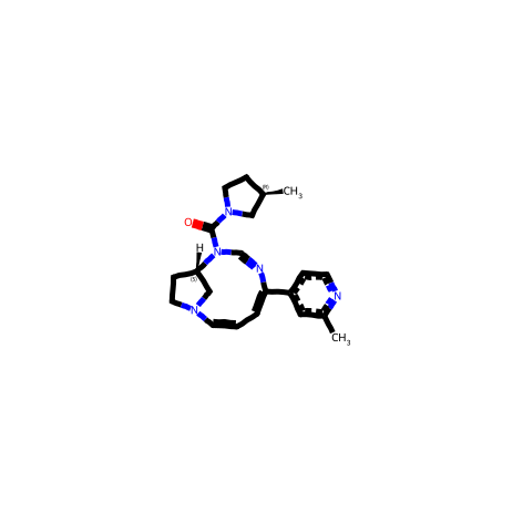 Cc1cc(C2=CC=CN3CC[C@@H](C3)N(C(=O)N3CC[C@@H](C)C3)C=N2)ccn1